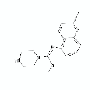 CSC(=Nc1cccc2nc(C)ccc12)N1CCNCC1